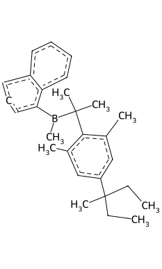 CCC(C)(CC)c1cc(C)c(C(C)(C)B(C)c2cccc3ccccc23)c(C)c1